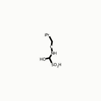 CC(C)CCNC(O)S(=O)(=O)O